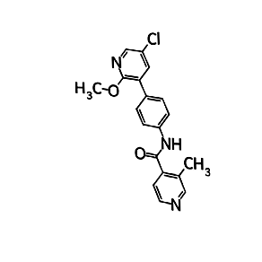 COc1ncc(Cl)cc1-c1ccc(NC(=O)c2ccncc2C)cc1